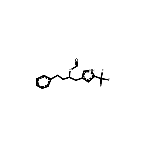 O=COC(CCc1ccccc1)Cc1c[nH]c(C(F)(F)F)c1